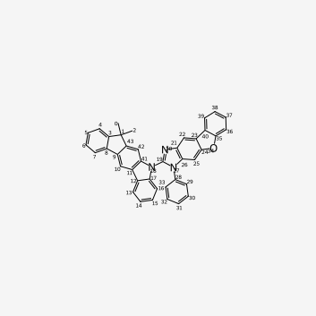 CC1(C)c2ccccc2-c2cc3c4ccccc4n(-c4nc5cc6c(cc5n4-c4ccccc4)oc4ccccc46)c3cc21